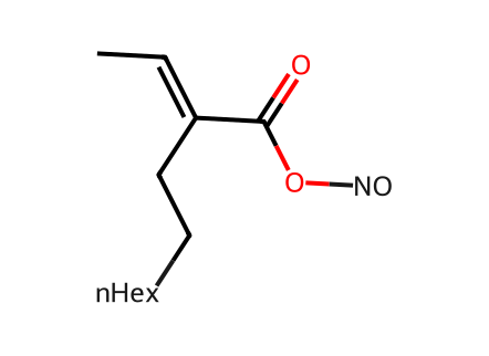 C/C=C(\CCCCCCCC)C(=O)ON=O